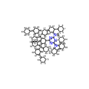 c1ccc(B2c3ccccc3-c3ccccc3N2c2nc(-c3cc([Si](c4ccccc4)(c4ccccc4)c4cccc(-c5ccccc5)c4)cc([Si](c4ccccc4)(c4ccccc4)c4cccc(-c5ccccc5)c4)c3)nc(-n3c4ccccc4c4ccccc43)n2)cc1